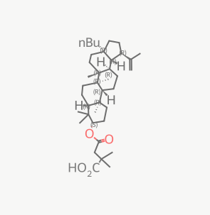 C=C(C)[C@@H]1CC[C@]2(CCCC)CC[C@]3(C)[C@H](CC[C@@H]4[C@@]5(C)CC[C@H](OC(=O)CC(C)(C)C(=O)O)C(C)(C)[C@@H]5CC[C@]43C)[C@@H]12